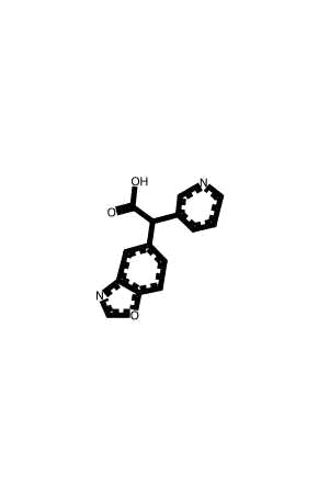 O=C(O)C(c1cccnc1)c1ccc2ocnc2c1